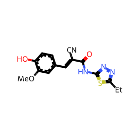 CCc1nnc(NC(=O)/C(C#N)=C/c2ccc(O)c(OC)c2)s1